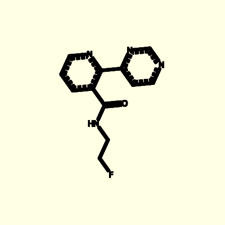 O=C(NCCF)c1cccnc1-c1ccncn1